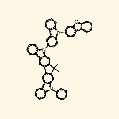 CC1(C)c2cc3c(cc2-c2cc4c5ccccc5n(-c5ccc6c(c5)c5ccccc5n6-c5ccc6c(c5)oc5ccccc56)c4cc21)c1ccccc1n3-c1ccccc1